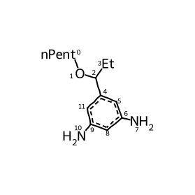 CCCCCOC(CC)c1cc(N)cc(N)c1